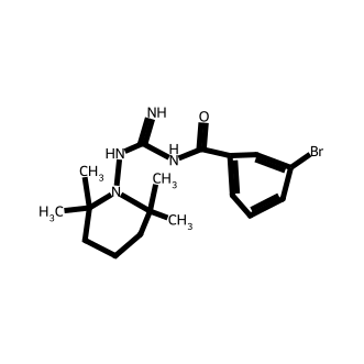 CC1(C)CCCC(C)(C)N1NC(=N)NC(=O)c1cccc(Br)c1